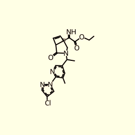 CCOC(=O)C(=N)[C@]12C=CC1C(=O)N(C(C)c1cnc(-n3cc(Cl)cn3)c(C)c1)C2